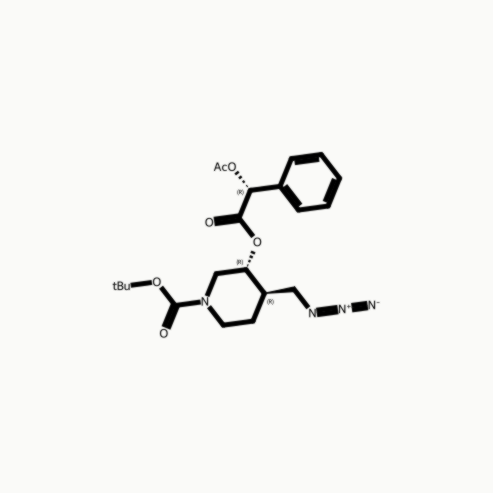 CC(=O)O[C@@H](C(=O)O[C@H]1CN(C(=O)OC(C)(C)C)CC[C@@H]1CN=[N+]=[N-])c1ccccc1